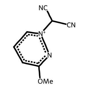 COc1ccc[n+](C(C#N)C#N)n1